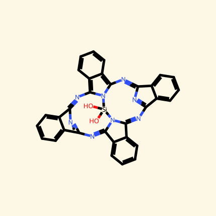 O[Si]1(O)n2c3c4ccccc4c2N=C2N=C(N=c4c5ccccc5c(n41)=NC1=NC(=N3)c3ccccc31)c1ccccc12